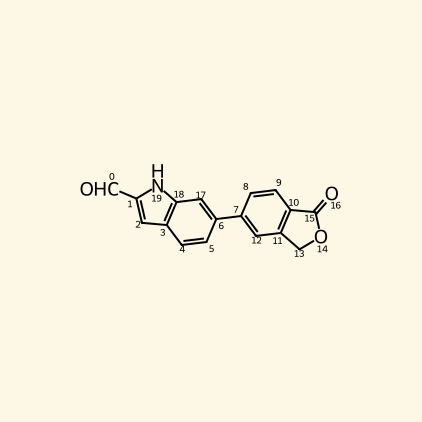 O=Cc1cc2ccc(-c3ccc4c(c3)COC4=O)cc2[nH]1